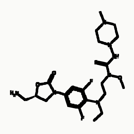 CCN(CCN(OC)C(=S)NN1CCN(C)CC1)c1c(F)cc(N2C[C@H](CN)OC2=O)cc1F